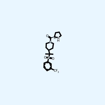 CC(C)(C1CCN(C(=O)[C@H]2CCCN2)CC1)S(=O)(=O)c1cccc(C(F)(F)F)c1